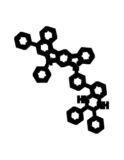 c1ccc(-c2cc3c(c4ccccc24)c2cc4c5ccccc5n(-c5cccc(-c6cccc7c6NC(c6ccccc6)C(c6ccccc6)N7)c5)c4cc2n3-c2ccccc2)cc1